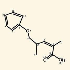 CC(=CC(C)COc1ccccc1)C(=O)O